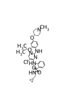 CC(C)Oc1cc(OC2CCN(C)CC2)ccc1Nc1ncc(Cl)c(Nc2ccccc2S(=O)(=O)NCC2CC2)n1